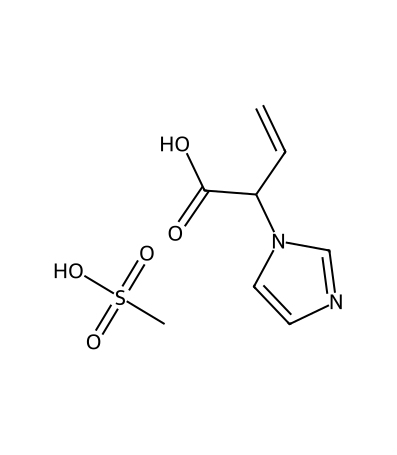 C=CC(C(=O)O)n1ccnc1.CS(=O)(=O)O